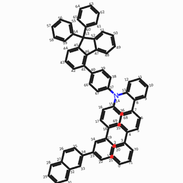 c1ccc(-c2ccc(-c3ccccc3N(c3ccc(-c4cccc(-c5ccc6ccccc6c5)c4)cc3)c3ccc(-c4cccc5c4-c4ccccc4C5(c4ccccc4)c4ccccc4)cc3)cc2)cc1